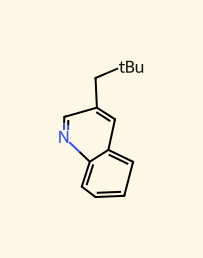 CC(C)(C)Cc1cnc2ccccc2c1